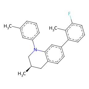 Cc1cccc(N2C[C@H](C)Cc3ccc(-c4cccc(F)c4C)cc32)c1